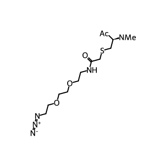 CN[C@@H](CSCC(=O)NCCOCCOCCN=[N+]=[N-])C(C)=O